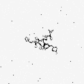 CN(C)C(=O)NCCn1c(=O)c(C(=O)NCC2CCCO2)c(O)c2ncc(Cc3ccc(F)cc3)cc21